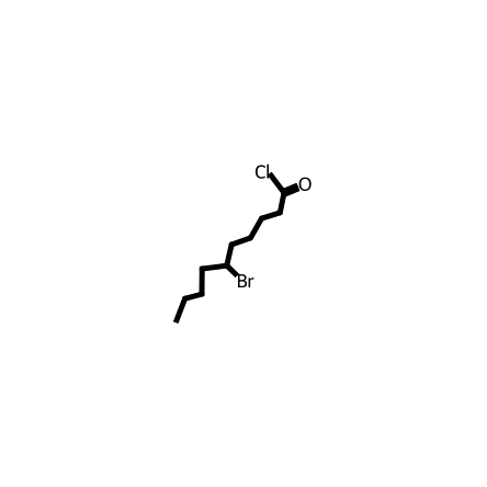 CCCCC(Br)CCCCC(=O)Cl